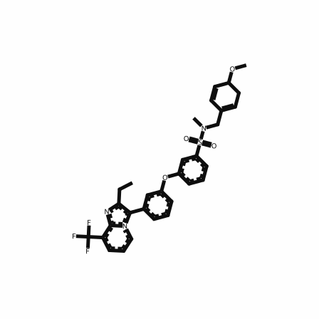 CCc1nc2c(C(F)(F)F)cccn2c1-c1cccc(Oc2cccc(S(=O)(=O)N(C)CC3=CCC(OC)C=C3)c2)c1